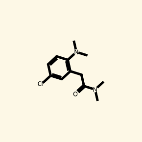 CN(C)C(=O)Cc1cc(Cl)ccc1N(C)C